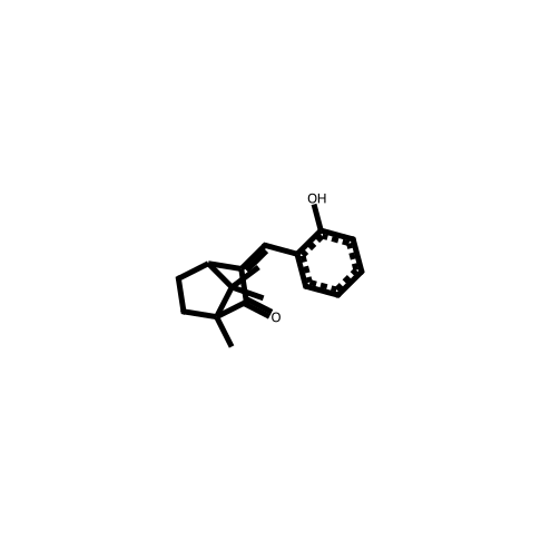 CC12CCC(/C(=C/c3ccccc3O)C1=O)C2(C)C